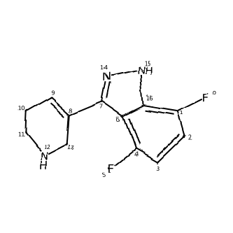 Fc1ccc(F)c2c(C3=CCCNC3)n[nH]c12